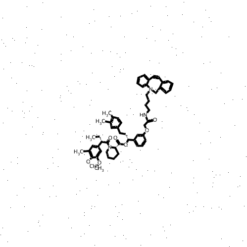 CC[C@H](C(=O)N1CCCC[C@H]1C(=O)O[C@H](CCc1ccc(C)c(C)c1)c1cccc(OCC(=O)NCCCCN2Cc3ccccc3C#Cc3ccccc32)c1)c1cc(C)c(OC)c(OC)c1